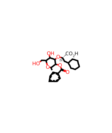 CC1OC(CO)C(O)C(O[C@@H](CC2CCCCC2)C(=O)O)C1OC(=O)c1ccccc1